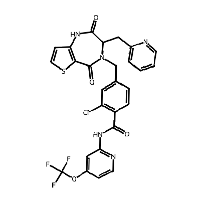 O=C(Nc1cc(OC(F)(F)F)ccn1)c1ccc(CN2C(=O)c3sccc3NC(=O)C2Cc2ccccn2)cc1Cl